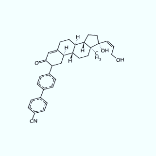 C[C@]12CC[C@H]3[C@@H](CCC4=CC(=O)C(c5ccc(-c6ccc(C#N)cc6)cc5)C[C@@H]43)[C@@H]1CC[C@@]2(O)/C=C\CO